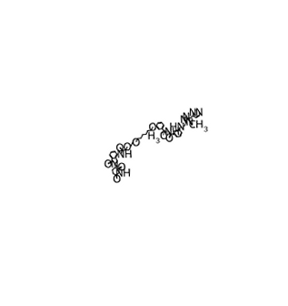 C[C@@H](NC(=O)c1cccc(NCc2nnc(-c3ccncn3)n2C)c1)c1cccc(OCCCCCCOCCOCC(=O)Nc2cccc3c2CN(C2CCC(=O)NC2=O)C3=O)c1